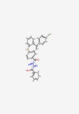 O=C(NNC(=O)c1ccc2c(c1)C=C(c1ccc(F)cc1)c1ccccc1S2)c1ccccc1